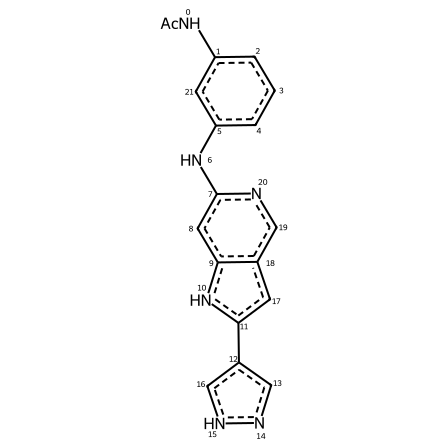 CC(=O)Nc1cccc(Nc2cc3[nH]c(-c4cn[nH]c4)cc3cn2)c1